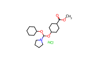 COC(=O)C1CCC(OC(OC2CCCCC2)N2CCCC2)CC1.Cl